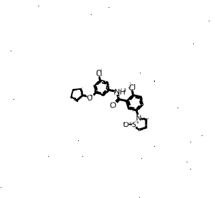 O=C(Nc1cc(Cl)cc(OC2CCCC2)c1)c1cc(N2CCC[S+]2[O-])ccc1Cl